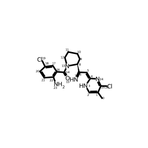 CC1=CN/C(=C\C(=N)[C@@H]2CCCCN2C(=O)c2cc(Cl)ccc2N)N=C1Cl